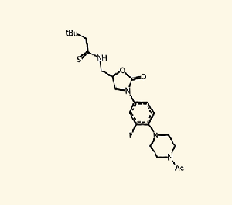 CC(=O)N1CCN(c2ccc(N3CC(CNC(=S)CC(C)(C)C)OC3=O)cc2F)CC1